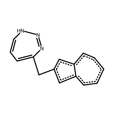 [CH](C1=CC=CNN=N1)c1cc2cccccc-2c1